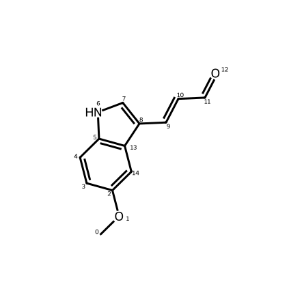 COc1ccc2[nH]cc(/C=C/C=O)c2c1